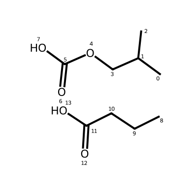 CC(C)COC(=O)O.CCCC(=O)O